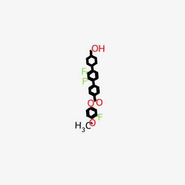 COc1ccc(OC(=O)c2ccc(-c3ccc(C4CCC(CO)CC4)c(F)c3F)cc2)cc1F